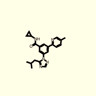 Cc1ccc(-c2cc(C(=O)NC3CC3)cc(-n3ncnc3CC(C)C)c2)nc1